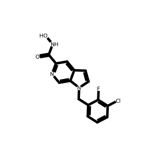 O=C(NO)c1cc2ccn(Cc3cccc(Cl)c3F)c2cn1